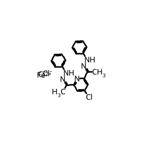 CC(=NNc1ccccc1)c1cc(Cl)cc(C(C)=NNc2ccccc2)n1.[Cl-].[Cl-].[Fe+2]